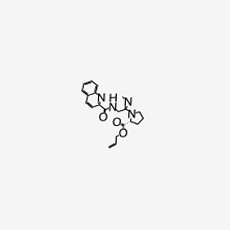 C=CCOC(=O)[C@H]1CCCN1/C(CNC(=O)c1ccc2ccccc2n1)=N/C